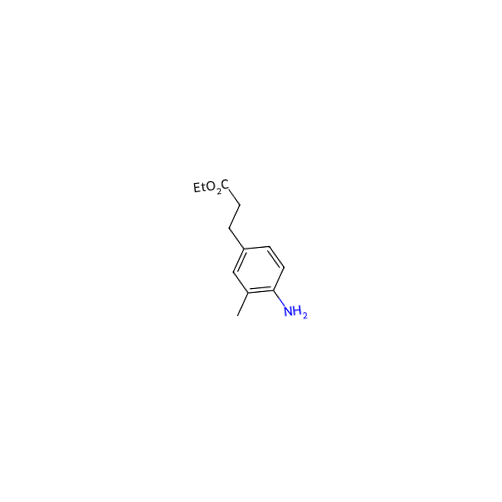 CCOC(=O)CCc1ccc(N)c(C)c1